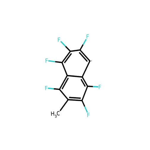 Cc1c(F)c(F)c2[c]c(F)c(F)c(F)c2c1F